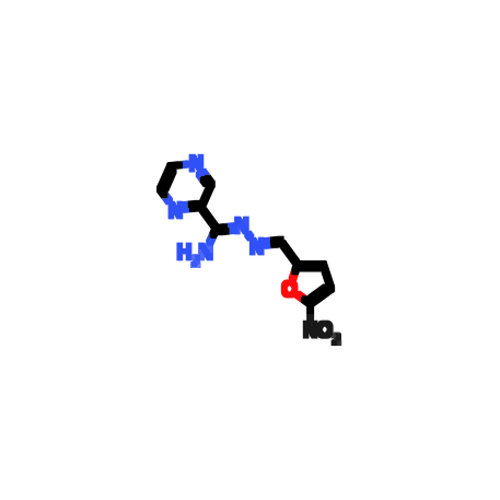 NC(=NN=Cc1ccc([N+](=O)[O-])o1)c1cnccn1